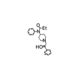 CCC(=O)N(c1ccccc1)C1CCN(C[C@@H](O)c2cccs2)CC1